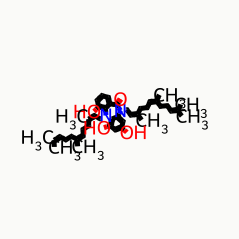 CC(C)=CCCC(C)=CCCC(C)=CCN1C(=O)c2cccc(O)c2N(CC=C(C)CCC=C(C)CCC=C(C)C)c2c(O)cc(O)cc21